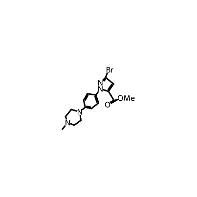 COC(=O)c1cc(Br)nn1-c1ccc(N2CCN(C)CC2)cc1